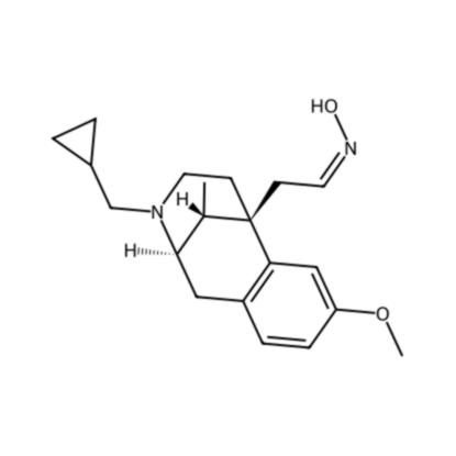 COc1ccc2c(c1)[C@@]1(C/C=N\O)CCN(CC3CC3)[C@H](C2)[C@@H]1C